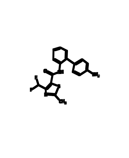 Bc1ccc(-c2ccccc2NC(=O)c2sc(C)nc2C(F)F)cc1